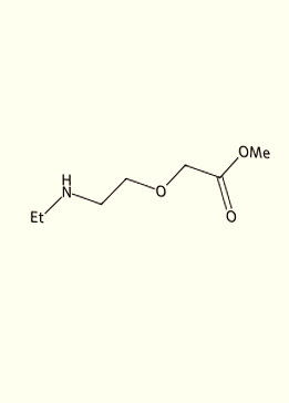 CCNCCOCC(=O)OC